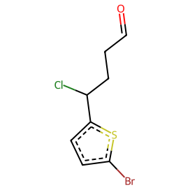 O=CCCC(Cl)c1ccc(Br)s1